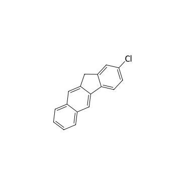 Clc1ccc2c(c1)Cc1cc3ccccc3cc1-2